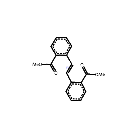 COC(=O)c1ccccc1/C=C/c1ccccc1C(=O)OC